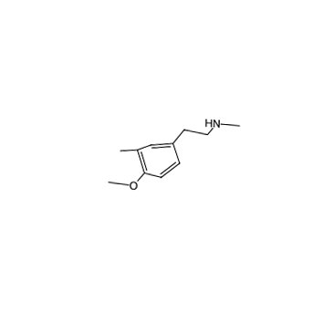 CNCCc1ccc(OC)c(C)c1